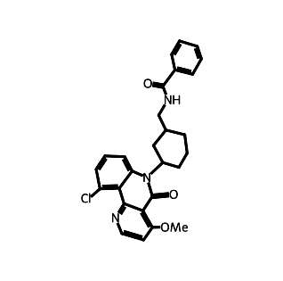 COc1ccnc2c1c(=O)n(C1CCCC(CNC(=O)c3ccccc3)C1)c1cccc(Cl)c21